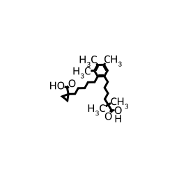 Cc1cc(CCCCC(C)(C)C(=O)O)c(CCCCCC2(C(=O)O)CC2)c(C)c1C